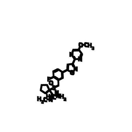 CN=S(=O)(Cc1cc(-c2cc(-c3ncc(OC)cn3)no2)ccc1F)C1(/C(N)=N\C)CCCC1